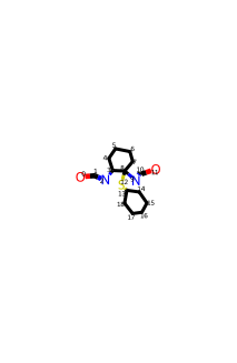 O=C=NC1CCCCC1(N=C=O)SC1CCCCC1